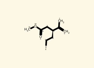 C=C(C)[C@@H](CCI)CC(=O)OC